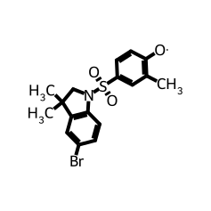 Cc1cc(S(=O)(=O)N2CC(C)(C)c3cc(Br)ccc32)ccc1[O]